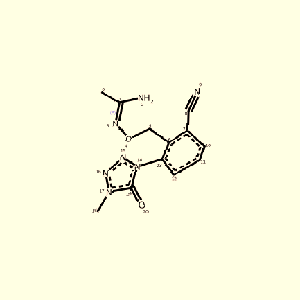 C/C(N)=N/OCc1c(C#N)cccc1-n1nnn(C)c1=O